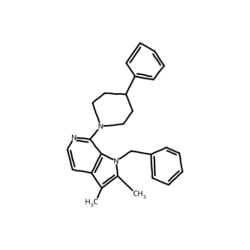 Cc1c(C)n(Cc2ccccc2)c2c(N3CCC(c4ccccc4)CC3)nccc12